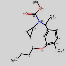 COCCCOc1cc(C(C)N(C(=O)OC(C)(C)C)C2CC2)ccc1C(=O)O